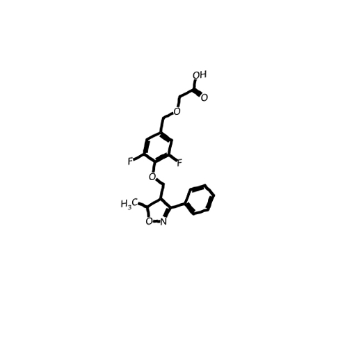 CC1ON=C(c2ccccc2)C1COc1c(F)cc(COCC(=O)O)cc1F